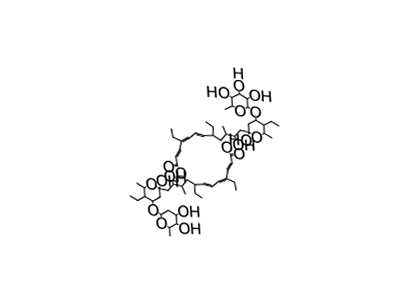 CCC1=C\C=C\C(CC)C(C(C)C(O)CC2(O)CC(OC3OC(C)C(O)C(O)C3O)C(CC)C(C)O2)OC(=O)/C=C/C(CC)=C/C=C/C(CC)C(C(C)C(O)CC2(O)CC(OC3CC(O)C(O)C(C)O3)C(CC)C(C)O2)OC(=O)\C=C\1